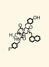 CN1CC(=O)N2[C@@H](Cc3ccc(O)cc3)C(=O)N(Cc3cccc4ccccc34)C[C@@H]2N1C(=O)NCc1ccc(F)cc1